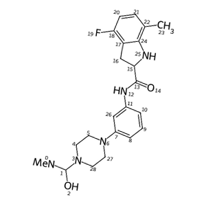 CNC(O)N1CCN(c2cccc(NC(=O)C3Cc4c(F)ccc(C)c4N3)c2)CC1